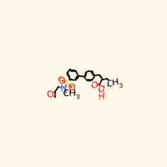 CCC(Cc1ccc(-c2cccc(S(=O)(=O)N(C)CC3CO3)c2)cc1)C(=O)O